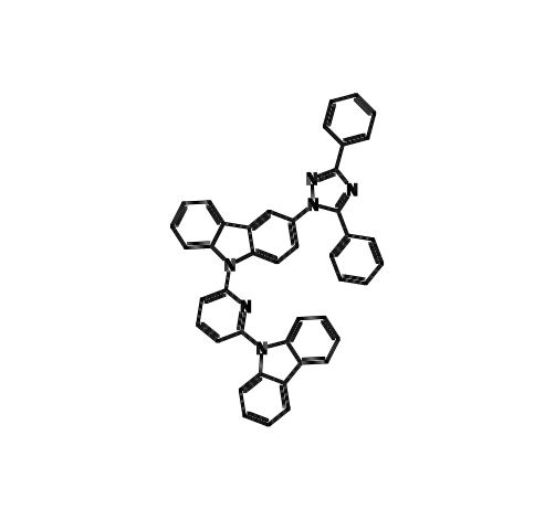 c1ccc(-c2nc(-c3ccccc3)n(-c3ccc4c(c3)c3ccccc3n4-c3cccc(-n4c5ccccc5c5ccccc54)n3)n2)cc1